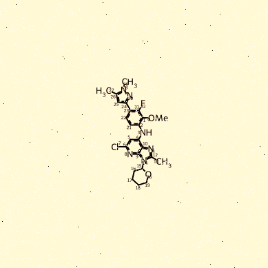 COc1c(Nc2cc(Cl)nc3c2nc(C)n3C2CCCCO2)ccc(-c2cc(C)n(C)n2)c1F